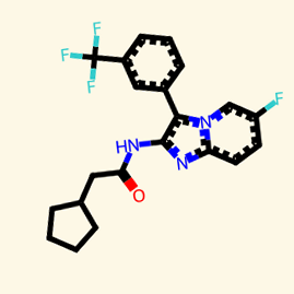 O=C(CC1CCCC1)Nc1nc2ccc(F)cn2c1-c1cccc(C(F)(F)F)c1